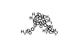 COC(=O)c1ccc(COc2cc3c(=O)n(-c4ccc(NC(=O)OC(C)(C)C)cc4)c(C(=O)OC)c(-c4cc(OC)c(OC)c(OC)c4)c3cc2OC)cc1